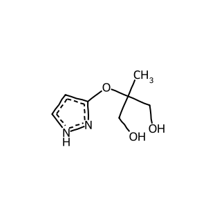 CC(CO)(CO)Oc1cc[nH]n1